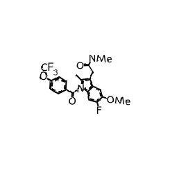 CNC(=O)Cc1c(C)n(C(=O)c2ccc(OC(F)(F)F)cc2)c2cc(F)c(OC)cc12